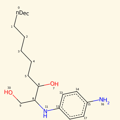 CCCCCCCCCCCCCCCC(O)C(CO)Nc1ccc(N)cc1